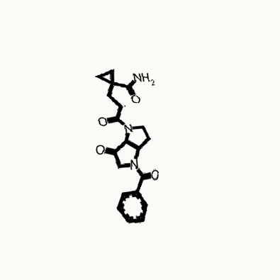 NC(=O)C1(C[CH]C(=O)N2CCC3C2C(=O)CN3C(=O)c2ccccc2)CC1